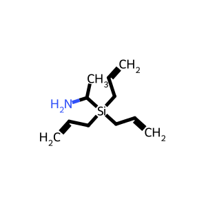 C=CC[Si](CC=C)(CC=C)C(C)N